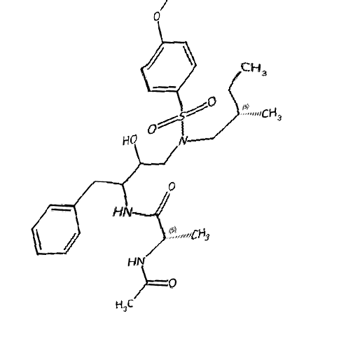 CC[C@H](C)CN(CC(O)C(Cc1ccccc1)NC(=O)[C@H](C)NC(C)=O)S(=O)(=O)c1ccc(OC)cc1